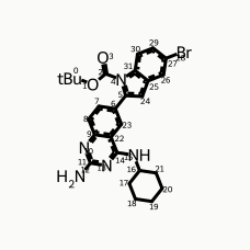 CC(C)(C)OC(=O)n1c(-c2ccc3nc(N)nc(NC4CCCCC4)c3c2)cc2cc(Br)ccc21